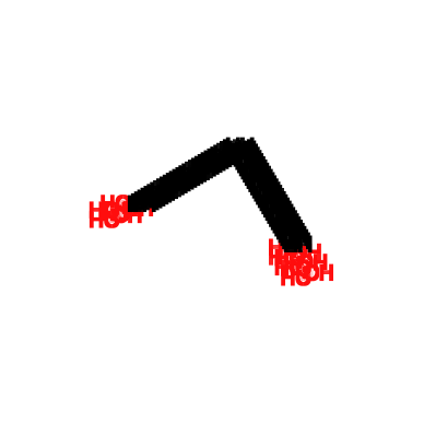 OB(O)O.OB(O)O.OB(O)O.OB(O)O.OB(O)O.[LiH].[LiH].[LiH].[LiH].[LiH].[LiH].[LiH].[LiH].[LiH].[LiH].[LiH].[LiH].[LiH].[LiH].[LiH].[LiH].[LiH].[LiH].[LiH].[LiH].[LiH].[LiH].[LiH].[LiH].[LiH].[LiH].[LiH].[LiH].[LiH].[LiH].[LiH].[LiH].[LiH].[LiH].[LiH].[LiH].[LiH].[LiH].[LiH].[LiH].[LiH].[LiH].[LiH].[LiH].[LiH].[LiH].[LiH].[LiH].[LiH].[LiH].[LiH].[LiH].[LiH].[LiH].[LiH].[LiH].[LiH].[LiH].[LiH].[LiH].[LiH].[LiH].[LiH]